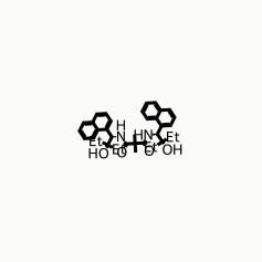 CCC(O)(CC)[C@@H](NC(=O)C(C)(C)C(=O)N[C@@H](c1cccc2ccccc12)C(O)(CC)CC)c1cccc2ccccc12